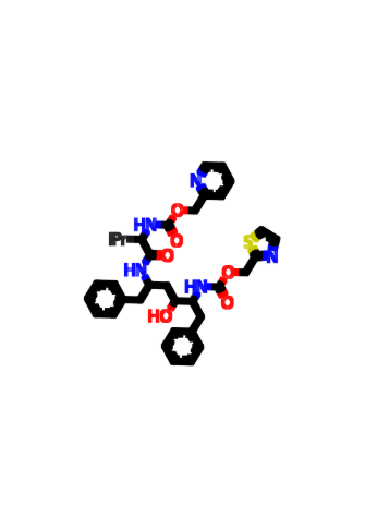 CC(C)C(NC(=O)OCc1ccccn1)C(=O)NC(Cc1ccccc1)CC(O)C(Cc1ccccc1)NC(=O)OCc1nccs1